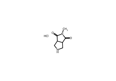 CN1C(=O)C2CNCC2C1=O.Cl